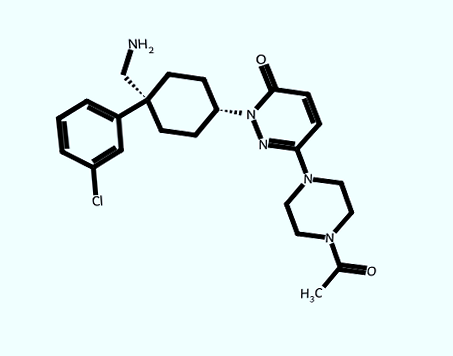 CC(=O)N1CCN(c2ccc(=O)n([C@H]3CC[C@](CN)(c4cccc(Cl)c4)CC3)n2)CC1